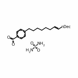 CCCCCCCCCCC=CCCCCCCc1ccc(I(=O)=O)cc1.NS(N)(=O)=O